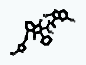 Cc1ccn2nc(N)c(C(=O)N[C@@H](C)c3c(Br)c4cccc(C#Cc5cnn(C)c5)c4c(=O)n3-c3ccccc3)c2n1